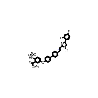 CCN1CC(c2ccc(F)cc2F)N=C1/C=C/c1ccc(-c2ccc(Oc3ccc(NS(C)(=O)=O)c(C(=O)OC)c3)cc2)cc1